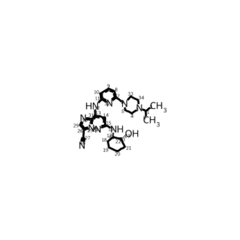 CC(C)N1CCN(c2cccc(Nc3cc(N[C@@H]4CCCC[C@H]4O)nn4c(C#N)cnc34)n2)CC1